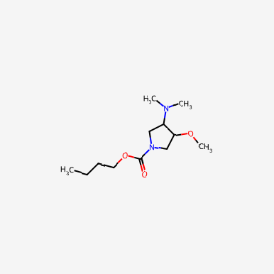 CCCCOC(=O)N1CC(OC)C(N(C)C)C1